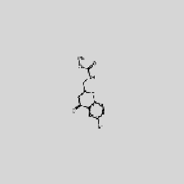 CC(C)(C)OC(=O)NCC1CC(=O)c2cc(Br)ccc2O1